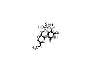 CCC1COC(COP(O)(O)=S)[C@H](n2cc(C)c(=O)[nH]c2=O)O1